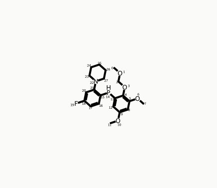 COCOc1c(OC)cc(OC)cc1Pc1ccc(F)cc1N1CCCCC1